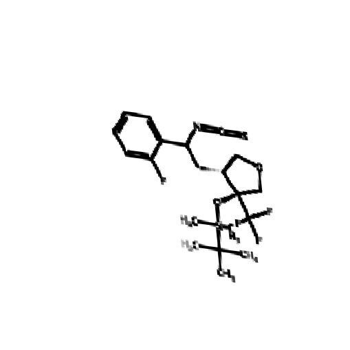 CC(C)(C)[Si](C)(C)O[C@]1(C(F)(F)F)COC[C@H]1CC(N=C=S)c1ccccc1F